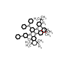 Cc1cc(-c2ccccc2)ccc1N1c2cc3c(cc2B2c4ccc(C(C)(C)C)cc4N(c4ccc(C(C)(C)C)cc4-c4ccccc4)c4cc(N(c5ccccc5)c5ccccc5)cc1c42)C(C)(C)CCC3(C)C